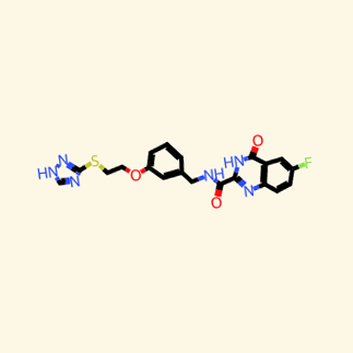 O=C(NCc1cccc(OCCSc2nc[nH]n2)c1)c1nc2ccc(F)cc2c(=O)[nH]1